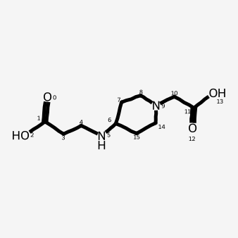 O=C(O)CCNC1CCN(CC(=O)O)CC1